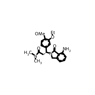 CCOc1cc([C@@H](CC(=O)N(C)C)N2Cc3cccc(N)c3C2=O)ccc1OC